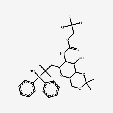 CC1(C)OCC2OC(CC(C)(C)[Si](O)(c3ccccc3)c3ccccc3)C(NC(=O)OCC(Cl)(Cl)Cl)C(O)C2O1